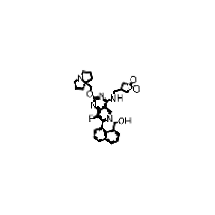 O=S1(=O)CC(CNc2nc(OCC34CCCN3CCC4)nc3c(F)c(-c4cccc5cccc(CO)c45)ncc23)C1